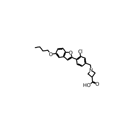 CCCCOc1ccc2oc(-c3ccc(CN4CC(C(=O)O)C4)cc3Cl)cc2c1